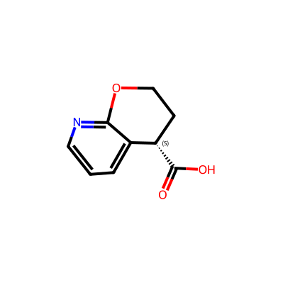 O=C(O)[C@H]1CCOc2ncccc21